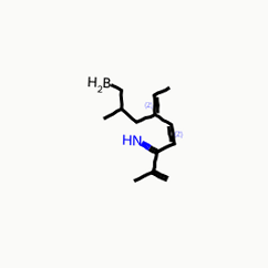 BCC(C)CC(/C=C\C(=N)C(=C)C)=C/C